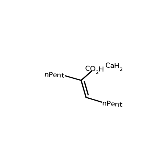 CCCCCC=C(CCCCC)C(=O)O.[CaH2]